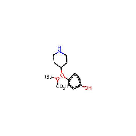 CC(C)(C)OC(=O)O.Oc1ccc(OC2CCNCC2)cc1